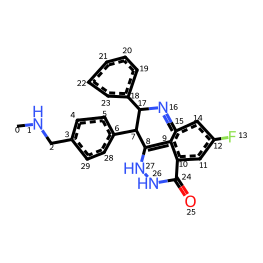 CNCc1ccc(C2C3=c4c(cc(F)cc4=NC2c2ccccc2)C(=O)NN3)cc1